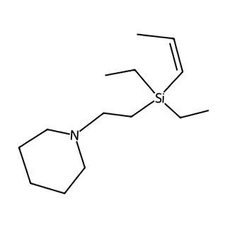 C/C=C\[Si](CC)(CC)CCN1CCCCC1